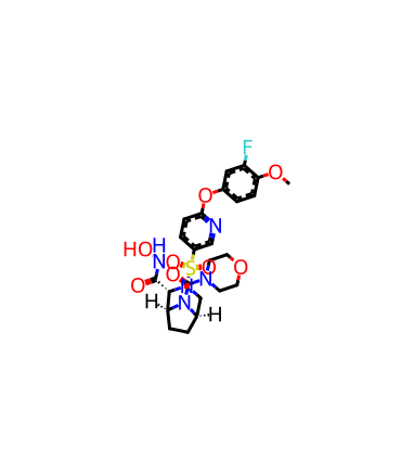 COc1ccc(Oc2ccc(S(=O)(=O)N3C[C@H]4CC[C@@H]([C@@H]3C(=O)NO)N4C(=O)N3CCOCC3)cn2)cc1F